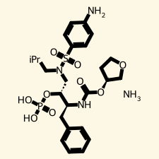 CC(C)CN(C[C@@H](OP(=O)(O)O)[C@H](Cc1ccccc1)NC(=O)O[C@H]1CCOC1)S(=O)(=O)c1ccc(N)cc1.N